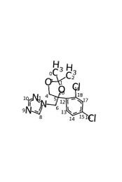 CC1(C)OCC(Cn2cncn2)(c2ccc(Cl)cc2Cl)O1